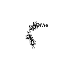 C#CC(C)(CCCc1cccc(Oc2ccc(C)cc2)c1)c1ccc(OC)c(Cl)c1